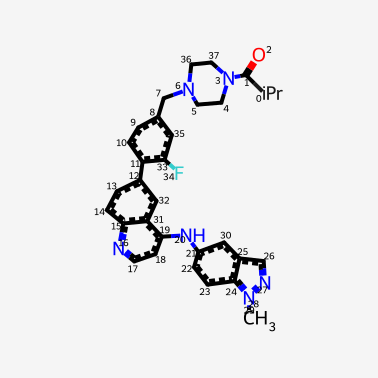 CC(C)C(=O)N1CCN(Cc2ccc(-c3ccc4nccc(Nc5ccc6c(cnn6C)c5)c4c3)c(F)c2)CC1